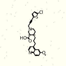 COc1ccc2nccc(CCC[C@@H]3CCN(CC#Cc4ccc(Cl)s4)C[C@@H]3C(=O)O)c2c1